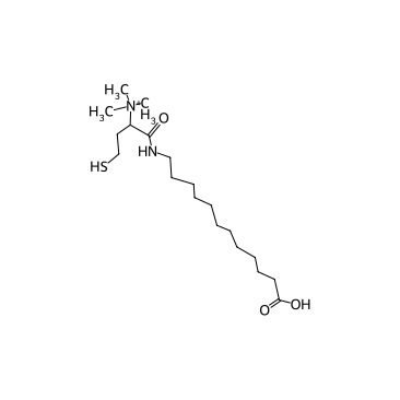 C[N+](C)(C)C(CCS)C(=O)NCCCCCCCCCCCC(=O)O